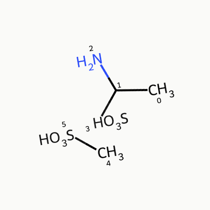 CC(N)S(=O)(=O)O.CS(=O)(=O)O